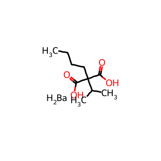 CCCCC(C(=O)O)(C(=O)O)C(C)C.[BaH2]